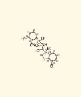 CCC1(C(=O)NS(=O)(=O)c2cccc(F)c2C#N)CCc2c(Cl)cccc21